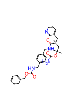 CC(C)(C[C@H](Cc1cccnc1)C(=O)NCc1ccc(CNC(=O)OCc2ccccc2)cc1)OC(N)=O